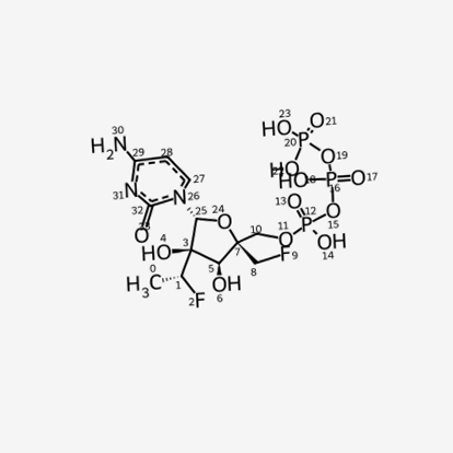 C[C@@H](F)[C@@]1(O)[C@H](O)[C@@](CF)(COP(=O)(O)OP(=O)(O)OP(=O)(O)O)O[C@H]1n1ccc(N)nc1=O